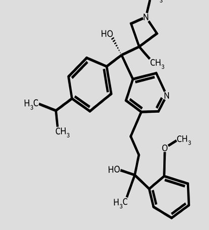 COc1ccccc1C(C)(O)CCc1cncc([C@@](O)(c2ccc(C(C)C)cc2)C2(C)CN(C)C2)c1